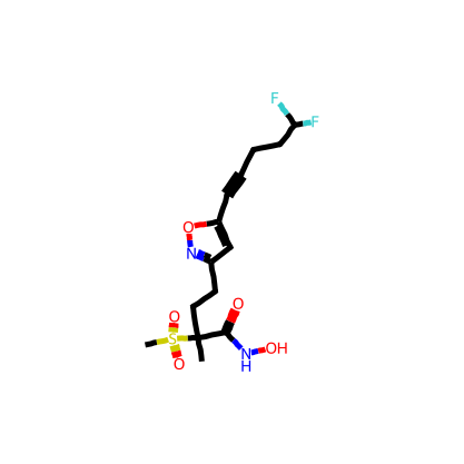 CC(CCc1cc(C#CCCC(F)F)on1)(C(=O)NO)S(C)(=O)=O